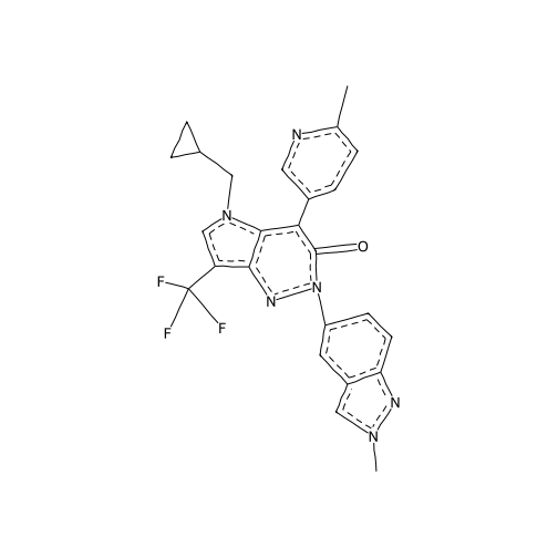 Cc1ccc(-c2c(=O)n(-c3ccc4nn(C)cc4c3)nc3c(C(F)(F)F)cn(CC4CC4)c23)cn1